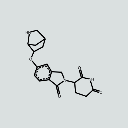 O=C1CCC(N2Cc3cc(OC4CC5CNC4C5)ccc3C2=O)C(=O)N1